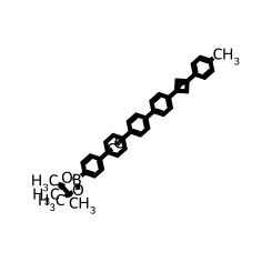 Cc1ccc(C23CC(c4ccc(-c5ccc(C67CCC(c8ccc(B9OC(C)(C)C(C)(C)O9)cc8)(CC6)CC7)cc5)cc4)(C2)C3)cc1